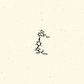 CCCCN(C(=O)OC(C)(C)C)c1nc(-c2ccc(C#Cc3cnc([C@@H]4CCCN4C(=O)OC(C)(C)C)[nH]3)cc2)c[nH]1